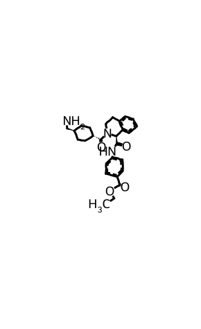 CCOC(=O)c1ccc(NC(=O)[C@@H]2c3ccccc3CCN2C(=O)[C@H]2CC[C@H](CN)CC2)cc1